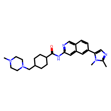 Cc1ncc(-c2ccc3cnc(NC(=O)C4CCC(CN5CCN(C)CC5)CC4)cc3c2)n1C